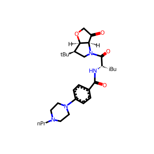 CCCN1CCN(c2ccc(C(=O)N[C@H](C(=O)N3C[C@@H](C(C)(C)C)[C@H]4OCC(=O)[C@H]43)[C@@H](C)CC)cc2)CC1